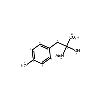 CNC(O)(Cc1ccc(O)cc1)C(=O)O